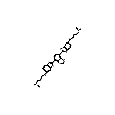 CN(C)CCCOc1ccc2nc(-c3ccc(-c4nc5ccc(OCCCN(C)C)cc5[nH]4)c4c3OCO4)[nH]c2c1